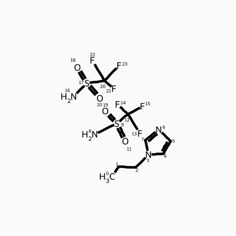 CCCn1ccnc1.NS(=O)(=O)C(F)(F)F.NS(=O)(=O)C(F)(F)F